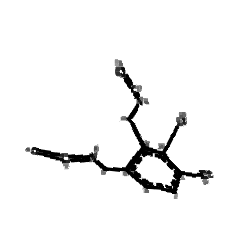 CCc1ccc(CN=C=O)c(CN=C=O)c1CC